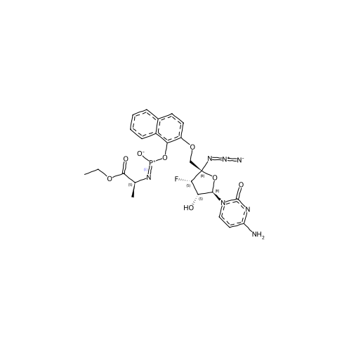 CCOC(=O)[C@H](C)/N=[P+](\[O-])Oc1c(OC[C@@]2(N=[N+]=[N-])O[C@@H](n3ccc(N)nc3=O)[C@H](O)[C@@H]2F)ccc2ccccc12